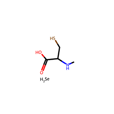 CNC(CS)C(=O)O.[SeH2]